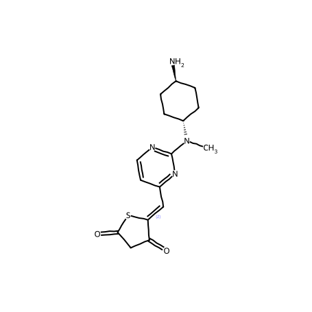 CN(c1nccc(/C=C2\SC(=O)CC2=O)n1)[C@H]1CC[C@H](N)CC1